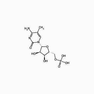 Cc1cn([C@@H]2O[C@H](COP(=O)(O)O)[C@@H](O)[C@H]2O)c(=O)nc1N